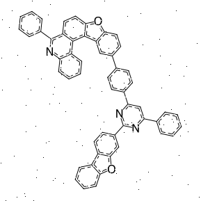 c1ccc(-c2cc(-c3ccc(-c4ccc5oc6ccc7c(-c8ccccc8)nc8ccccc8c7c6c5c4)cc3)nc(-c3ccc4c(c3)oc3ccccc34)n2)cc1